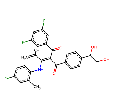 C=C(C)/C(Nc1ccc(F)cc1C)=C(/C(=O)c1ccc(C(O)CO)cc1)C(=O)c1cc(F)cc(F)c1